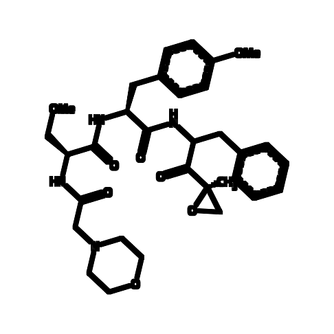 COC[C@H](NC(=O)CN1CCOCC1)C(=O)N[C@@H](Cc1ccc(OC)cc1)C(=O)NC(Cc1ccccc1)C(=O)[C@@]1(C)CO1